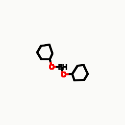 B(OC1CCCCC1)OC1CCCCC1